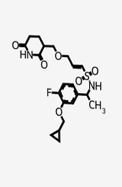 CC(NS(=O)(=O)/C=C/COCC1CCC(=O)NC1=O)c1ccc(F)c(OCC2CC2)c1